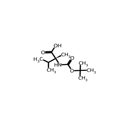 CC(C)[C@@](C)(NC(=O)OC(C)(C)C)C(=O)O